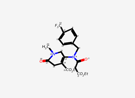 CCOC(=O)CC(=O)N(Cc1ccc(C(F)(F)F)cc1)C1=C(C(=O)OCC)CC(=O)N(C)C1